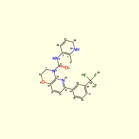 CC1=C(NC(=O)N2CCOc3ccc(-c4cccc(C(F)(F)F)c4)nc32)C=CCN1